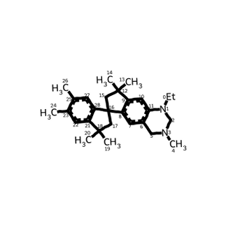 CCN1CN(C)Cc2cc3c(cc21)C(C)(C)CC31CC(C)(C)c2cc(C)c(C)cc21